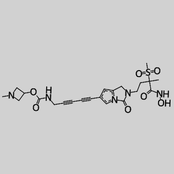 CN1CC(OC(=O)NCC#CC#Cc2cc3n(c2)C(=O)N(CCC(C)(C(=O)NO)S(C)(=O)=O)C3)C1